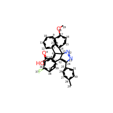 CCC(C(=O)O)=C(c1ccccc1)C1(c2ccc(OC)cc2)N=NC(c2ccc(C)cc2)=C1c1ccc(F)cc1